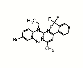 CCN(c1nc(C)cc(-c2ccccc2C(F)(F)F)n1)c1ccc(Br)cc1Br